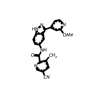 COc1cc(-c2n[nH]c3ccc(NC(=O)c4ncc(C#N)cc4C)cc23)ccn1